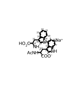 CC(=O)NC(Cc1c[nH]c2ccccc12)C(=O)[O-].NC(Cc1c[nH]c2ccccc12)C(=O)O.[Na+]